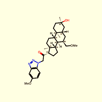 COC[C@@H]1C[C@H]2C[C@](C)(O)CC[C@]2(C)[C@H]2CC[C@]3(C)[C@@H](C(=O)Cn4nnc5cc(OC)ccc54)CC[C@H]3[C@H]12